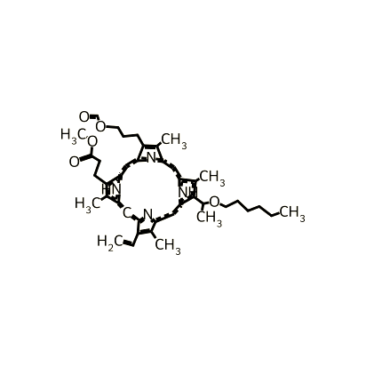 C=CC1=C(C)c2cc3[nH]c(cc4nc(cc5[nH]c(cc1n2)c(C)c5CCC(=O)OC)C(CCCOC=O)=C4C)c(C)c3C(C)OCCCCCC